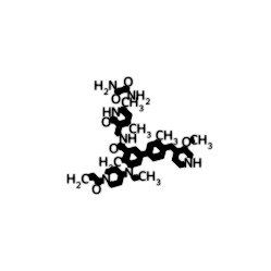 C=CC(=O)N1CCC(N(CC)c2cc(-c3ccc(CC4CCNCC4OC)c(C)c3)cc(C(=O)NCc3c(C)cc(C)[nH]c3=O)c2C)CC1.NC(=O)C(N)=O